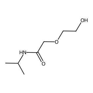 CC(C)NC(=O)COCCO